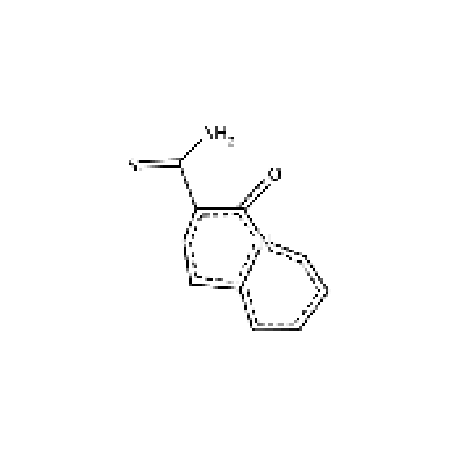 NC(=S)c1ccc2ccccn2c1=O